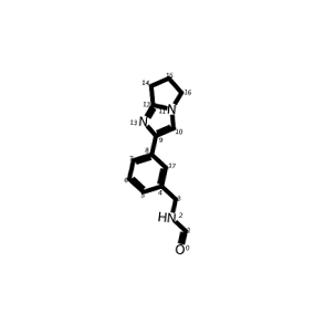 O=CNCc1cccc(-c2cn3c(n2)CCC3)c1